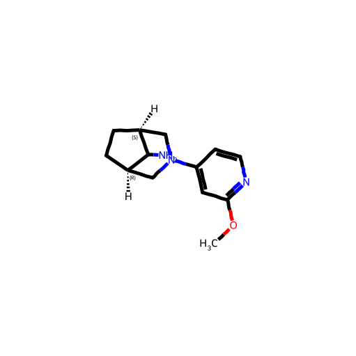 COc1cc(N2C[C@H]3CC[C@@H](C2)C3N)ccn1